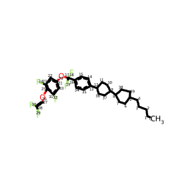 CCCCCC1CCC(C2CCC(c3ccc(C(F)(F)Oc4cc(F)c(OC=C(F)F)c(F)c4)cc3)CC2)CC1